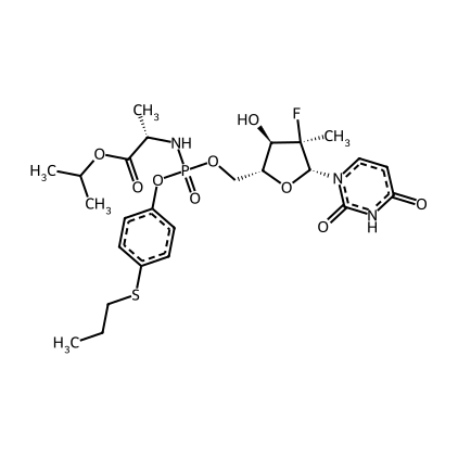 CCCSc1ccc(OP(=O)(N[C@@H](C)C(=O)OC(C)C)OC[C@H]2O[C@@H](n3ccc(=O)[nH]c3=O)[C@](C)(F)[C@@H]2O)cc1